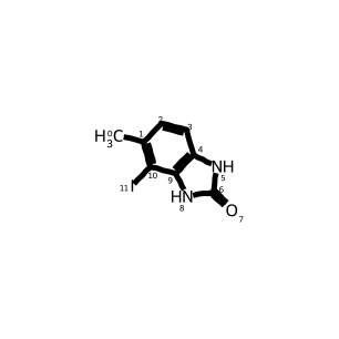 Cc1ccc2[nH]c(=O)[nH]c2c1I